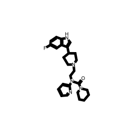 O=C(N1CCCCC1)N(CCN1CCC(c2c[nH]c3ccc(F)cc23)CC1)c1ccccn1